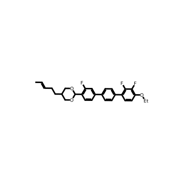 C/C=C/CCC1COC(c2ccc(-c3ccc(-c4ccc(OCC)c(F)c4F)cc3)cc2F)OC1